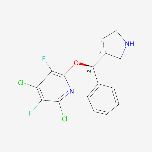 Fc1c(Cl)nc(O[C@H](c2ccccc2)[C@@H]2CCNC2)c(F)c1Cl